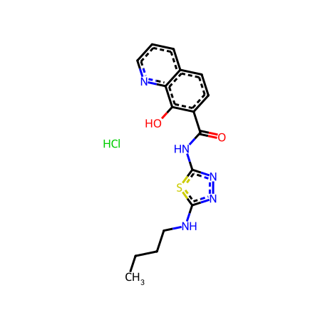 CCCCNc1nnc(NC(=O)c2ccc3cccnc3c2O)s1.Cl